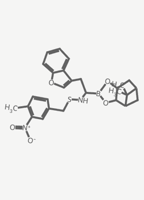 Cc1ccc(CSNC(Cc2coc3ccccc23)B2OC3CC4CC(C3O2)C4(C)C)cc1[N+](=O)[O-]